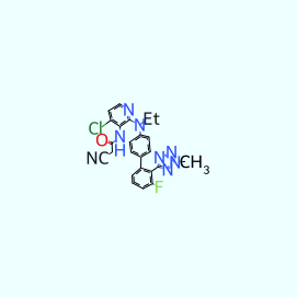 CCN(c1ccc(-c2cccc(F)c2-c2nnn(C)n2)cc1)c1nccc(Cl)c1NC(=O)CC#N